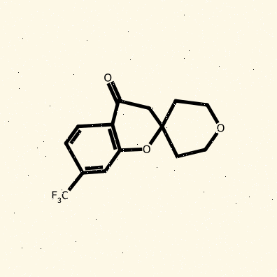 O=C1[CH]C2(CCOCC2)Oc2cc(C(F)(F)F)ccc21